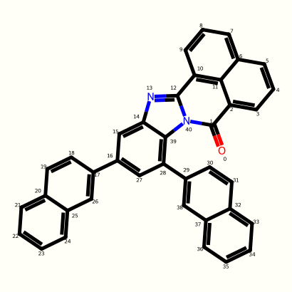 O=c1c2cccc3cccc(c32)c2nc3cc(-c4ccc5ccccc5c4)cc(-c4ccc5ccccc5c4)c3n12